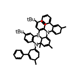 CC1=CC2(C)C3B(c4cc(C(C)(C)C)ccc4N(C4=CCC(C)C=C4c4ccccc4)C3=C1)c1cc(C(C)(C)C)ccc1N2C1=CCC(C)C=C(c2ccccc2)C1